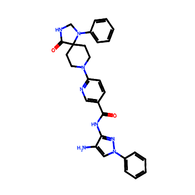 Nc1cn(-c2ccccc2)nc1NC(=O)c1ccc(N2CCC3(CC2)C(=O)NCN3c2ccccc2)nc1